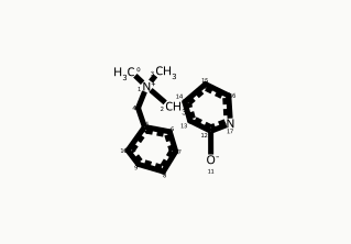 C[N+](C)(C)Cc1ccccc1.[O-]c1ccccn1